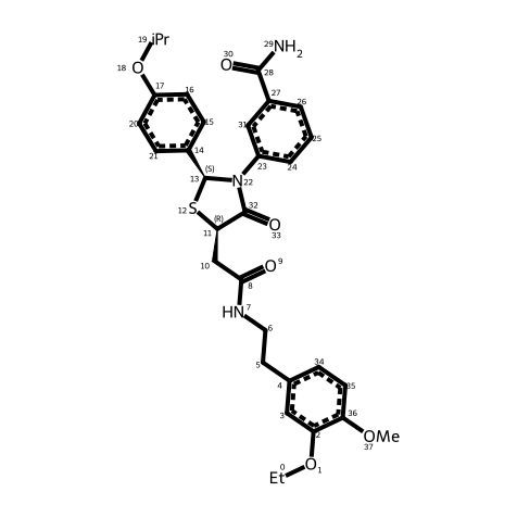 CCOc1cc(CCNC(=O)C[C@H]2S[C@@H](c3ccc(OC(C)C)cc3)N(c3cccc(C(N)=O)c3)C2=O)ccc1OC